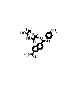 N=C(N)c1ccc2cc(C(=O)Nc3ccc(N)cc3)ccc2c1.O=C(O)C(F)(F)F.O=C(O)C(F)(F)F